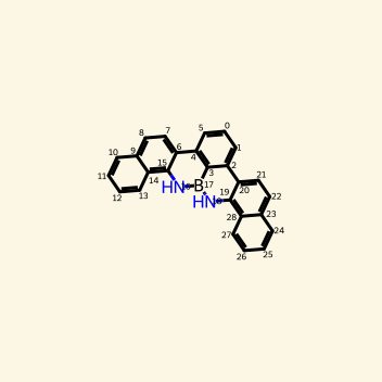 c1cc2c3c(c1)-c1ccc4ccccc4c1NB3Nc1c-2ccc2ccccc12